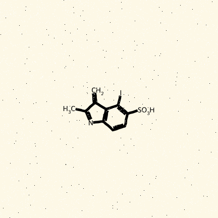 C=C1C(C)=Nc2ccc(S(=O)(=O)O)c(I)c21